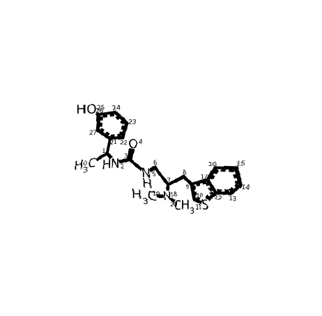 CC(NC(=O)NCC(Cc1csc2ccccc12)N(C)C)c1cccc(O)c1